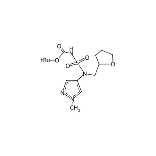 Cn1cc(N(CC2CCCO2)S(=O)(=O)NC(=O)OC(C)(C)C)cn1